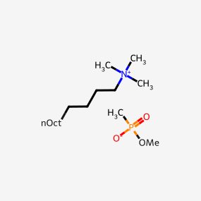 CCCCCCCCCCCC[N+](C)(C)C.COP(C)(=O)[O-]